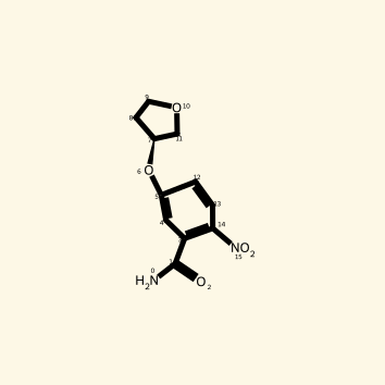 NC(=O)c1cc(O[C@H]2CCOC2)ccc1[N+](=O)[O-]